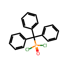 O=P(Cl)(Cl)C(c1ccccc1)(c1ccccc1)c1ccccc1